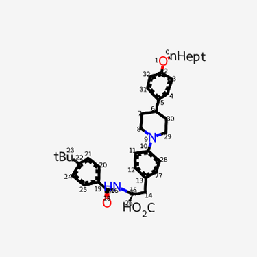 CCCCCCCOc1ccc(C2CCN(c3ccc(C[C@H](NC(=O)c4ccc(C(C)(C)C)cc4)C(=O)O)cc3)CC2)cc1